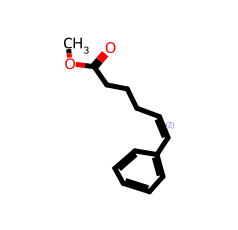 COC(=O)CCC/C=C\c1ccccc1